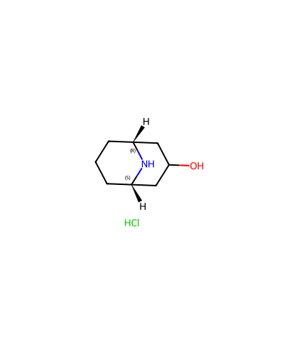 Cl.OC1C[C@H]2CCC[C@@H](C1)N2